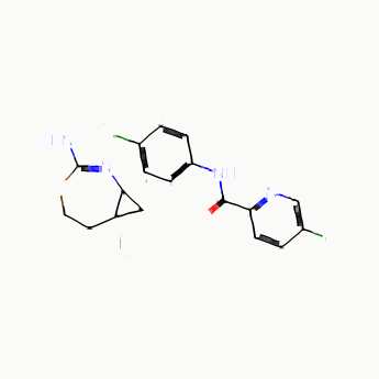 NC1=N[C@@]2(c3cc(NC(=O)c4ccc(Cl)cn4)ccc3Cl)C[C@H]2CCS1